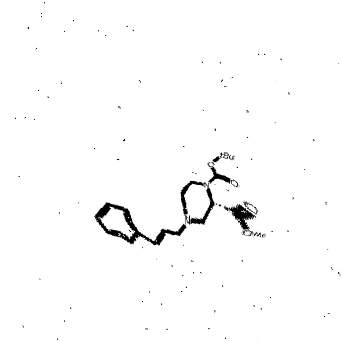 COC(=O)[C@@H]1CN(C/C=C/c2ccccc2)CCN1C(=O)OC(C)(C)C